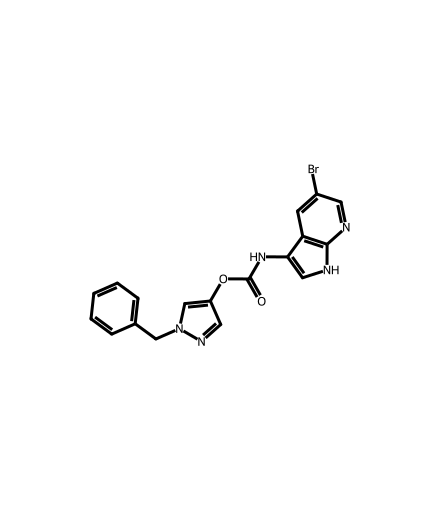 O=C(Nc1c[nH]c2ncc(Br)cc12)Oc1cnn(Cc2ccccc2)c1